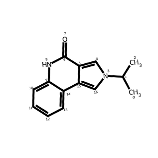 CC(C)n1cc2c(=O)[nH]c3ccccc3c2c1